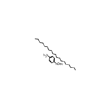 CCCCCCCCCCCCCCCCCCC.CCCCCCCCCCc1ccc(N)cc1